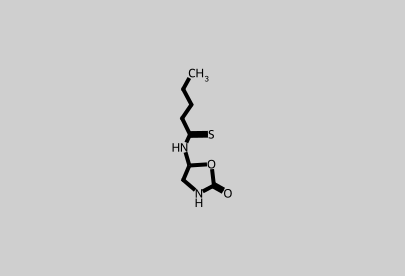 CCCCC(=S)NC1CNC(=O)O1